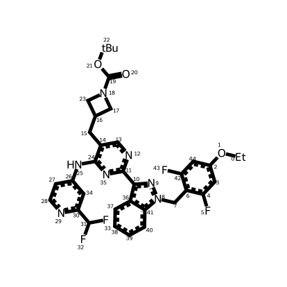 CCOc1cc(F)c(Cn2nc(-c3ncc(CC4CN(C(=O)OC(C)(C)C)C4)c(Nc4ccnc(C(F)F)c4)n3)c3ccccc32)c(F)c1